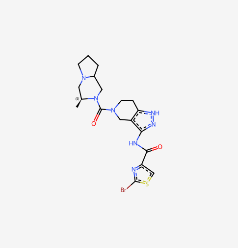 C[C@H]1CN2CCCC2CN1C(=O)N1CCc2[nH]nc(NC(=O)c3csc(Br)n3)c2C1